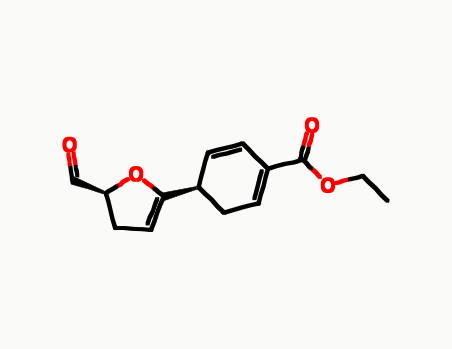 CCOC(=O)C1=CC[C@@H](C2=CC[C@@H](C=O)O2)C=C1